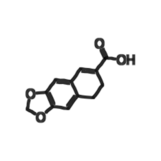 O=C(O)C1=Cc2cc3c(cc2CC1)OCO3